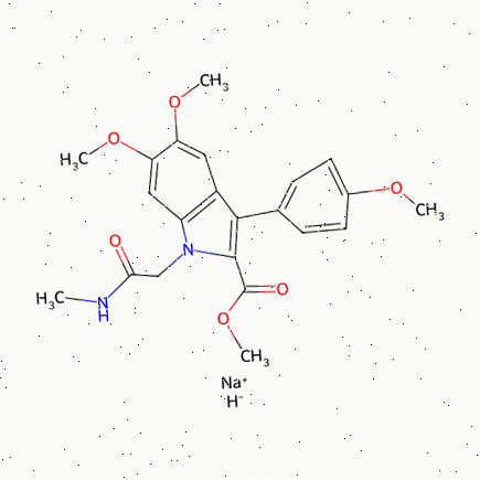 CNC(=O)Cn1c(C(=O)OC)c(-c2ccc(OC)cc2)c2cc(OC)c(OC)cc21.[H-].[Na+]